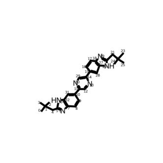 CC(C)(C)Cc1nc2ccc(-c3cnc(-c4ccc5nc(CC(C)(C)C)[nH]c5c4)cn3)cc2[nH]1